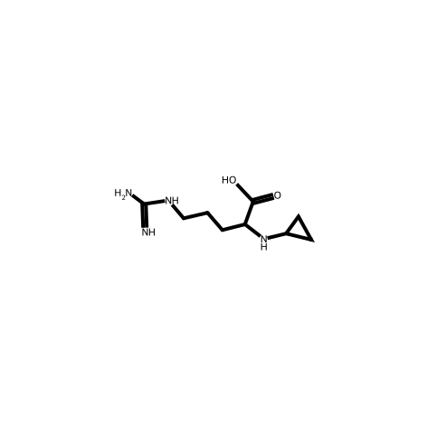 N=C(N)NCCCC(NC1CC1)C(=O)O